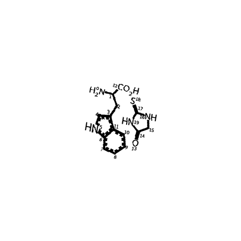 NC(Cc1c[nH]c2ccccc12)C(=O)O.O=C1CNC(=S)N1